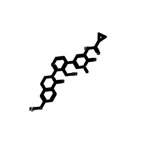 Cn1cc(-c2ccnc(N3CCc4cc(OC(F)(F)F)ccc4C3=O)c2CO)cc(NC(=O)C2CC2)c1=O